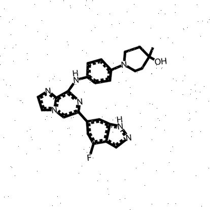 CC1(O)CCN(c2ccc(Nc3nc(-c4cc(F)c5cn[nH]c5c4)cn4ccnc34)cc2)CC1